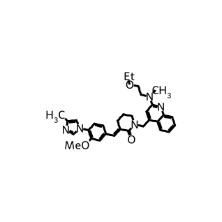 CCOCCN(C)c1cc(CN2CCC/C(=C\c3ccc(-n4cnc(C)c4)c(OC)c3)C2=O)c2ccccc2n1